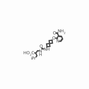 CC(C)CC(CNC(=O)NC1CC2(C1)CC(Oc1ncccc1C(N)=O)C2)C(=O)O